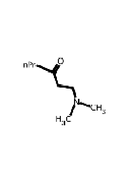 CCCC(=O)CCN(C)C